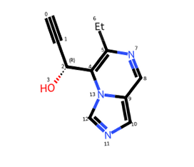 C#C[C@@H](O)c1c(CC)ncc2cncn12